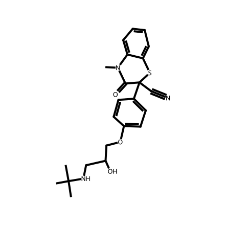 CN1C(=O)C(C#N)(c2ccc(OCC(O)CNC(C)(C)C)cc2)Sc2ccccc21